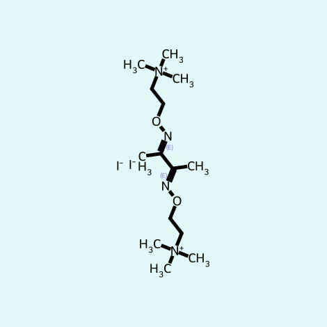 CC(=N\OCC[N+](C)(C)C)/C(C)=N/OCC[N+](C)(C)C.[I-].[I-]